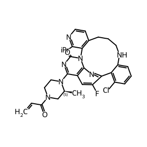 C=CC(=O)N1CCN(c2nc(=O)n3c4nc(c(F)cc24)-c2c(Cl)cccc2NCCCc2ccnc(C(C)C)c2-3)[C@@H](C)C1